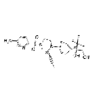 CC#C[C@H]1CN(S(=O)(=O)c2ccc(N)nn2)CCN1c1ccc([C@@](O)(CO)C(F)(F)F)cc1